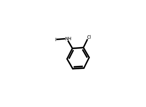 Clc1ccccc1NI